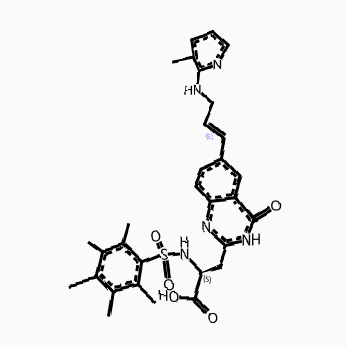 Cc1cccnc1NC/C=C/c1ccc2nc(C[C@H](NS(=O)(=O)c3c(C)c(C)c(C)c(C)c3C)C(=O)O)[nH]c(=O)c2c1